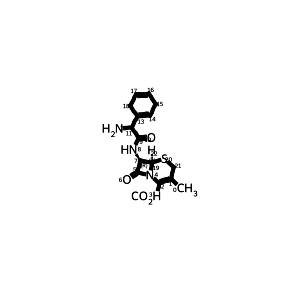 CC1=C(C(=O)O)N2C(=O)[C@@H](NC(=O)C(N)C3=CCC=CC3)[C@H]2SC1